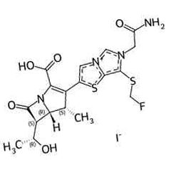 C[C@@H](O)[C@H]1C(=O)N2C(C(=O)O)=C(c3c[n+]4cn(CC(N)=O)c(SCF)c4s3)[C@H](C)[C@H]12.[I-]